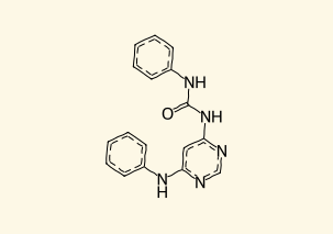 O=C(Nc1ccccc1)Nc1cc(Nc2ccccc2)ncn1